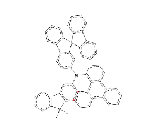 CC1(C)c2ccccc2-c2cc(N(c3ccc4c(c3)C3(c5ccccc5-c5ccccc53)c3ccccc3-4)c3cccc4c5ccccc5c5ccccc5c34)ccc21